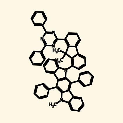 Cn1c2ccccc2c2c(-c3ccccc3)c3c(c(-c4ccccc4)c21)c1ccccc1n3-c1cccc2c1C(C)(C)c1c(-c3nc(-c4ccccc4)nc(-c4ccccc4)n3)cccc1-2